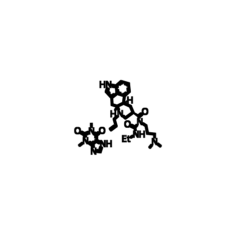 C=CCN1C[C@H](C(=O)N(CCCN(C)C)C(=O)NCC)C[C@@H]2c3cccc4[nH]cc(c34)C[C@H]21.Cn1c(=O)c2[nH]cnc2n(C)c1=O